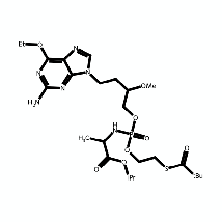 CCOc1nc(N)nc2c1ncn2CCC(COP(=O)(NC(C)C(=O)OC(C)C)OCCSC(=O)C(C)(C)C)OC